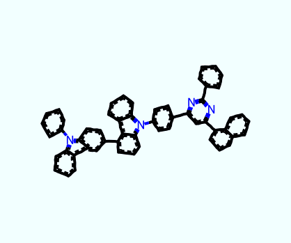 c1ccc(-c2nc(-c3ccc(-n4c5ccccc5c5c(-c6ccc7c(c6)c6ccccc6n7-c6ccccc6)cccc54)cc3)cc(-c3cccc4ccccc34)n2)cc1